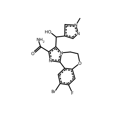 Cn1cc(C(O)c2c(C(N)=O)nc3n2CCOc2cc(F)c(Br)cc2-3)cn1